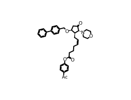 CC(=O)c1ccc(OC(=O)CCC/C=C\C[C@H]2[C@@H](OCc3ccc(-c4ccccc4)cc3)CC(=O)[C@@H]2N2CCOCC2)cc1